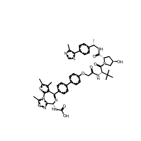 Cc1ncsc1-c1ccc([C@H](C)NC(=O)[C@@H]2C[C@@H](O)CN2C(=O)[C@@H](NC(=O)COc2ccc(-c3ccc(C4=N[C@H](NC(=O)O)c5nnc(C)n5-c5sc(C)c(C)c54)cc3)cc2)C(C)(C)C)cc1